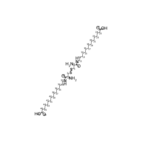 NC(CSSCC(N)C(=O)NCCCCCCCCCCCCCCCC(=O)O)C(=O)NCCCCCCCCCCCCCCCC(=O)O